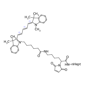 CCCCCCCNC(=O)C(CCCCNC(=O)CCCCC[N+]1=C(/C=C/C=C/C=C2\N(C)c3ccccc3C2(C)C)C(C)(C)c2ccccc21)N1C(=O)C=CC1=O